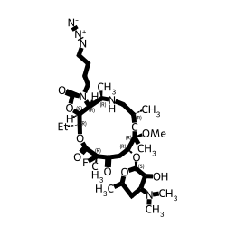 CC[C@H]1OC(=O)[C@](C)(F)C(=O)C[C@@H](O[C@@H]2OC(C)CC(N(C)C)C2O)[C@](C)(OC)C[C@@H](C)CN[C@H](C)[C@@H]2[C@@H]1OC(=O)N2CCCCN=[N+]=[N-]